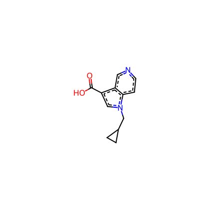 O=C(O)c1cn(CC2CC2)c2ccncc12